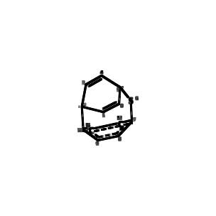 C1=C[C]2C=C[C]1Sc1ccc2cc1